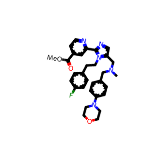 COC(=O)c1ccnc(-c2ncc(CN(C)Cc3ccc(N4CCOCC4)cc3)n2CCc2ccc(F)cc2)c1